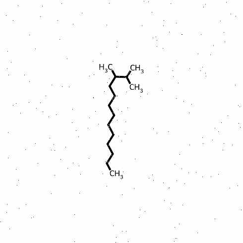 CCCCCCCC[CH]CC(C)C(C)C